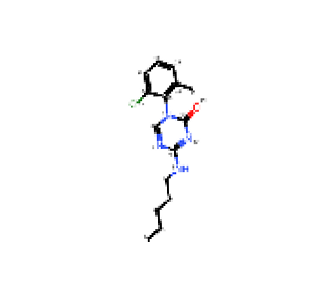 CCCCCNc1ncn(-c2c(C)cccc2Cl)c(=O)n1